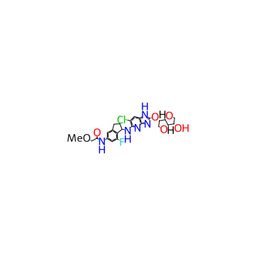 COCC(=O)Nc1cc(F)c2c(c1)CCC2Nc1nc2nc(O[C@@H]3CO[C@H]4[C@@H]3OC[C@H]4O)[nH]c2cc1Cl